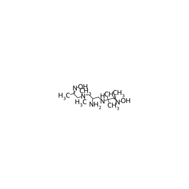 CC(C[N+](C)(C)CC(N)CNC(C)(C)C(C)=NO)=NO